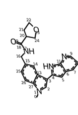 Cn1cc(-c2cc3cccnc3[nH]2)c2cc(CNC(=O)C3CCOC3)ccc21